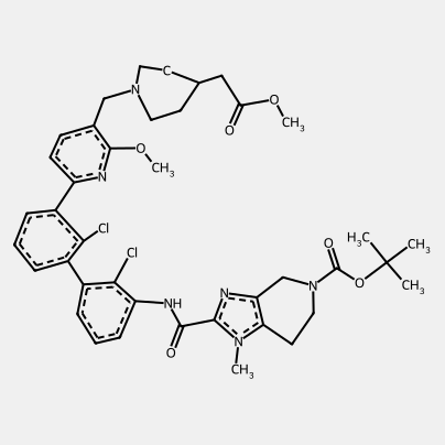 COC(=O)CC1CCN(Cc2ccc(-c3cccc(-c4cccc(NC(=O)c5nc6c(n5C)CCN(C(=O)OC(C)(C)C)C6)c4Cl)c3Cl)nc2OC)CC1